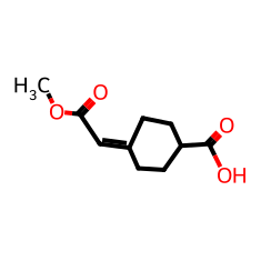 COC(=O)C=C1CCC(C(=O)O)CC1